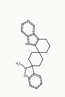 CN(C)C1(c2ccccc2)CCC2(CCCc3c2[nH]c2ccncc32)CC1